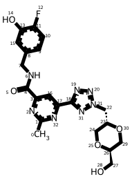 Cc1nc(C(=O)NCc2ccc(F)c(O)c2)cc(-c2nnn(C[C@H]3CO[C@H](CO)CO3)n2)n1